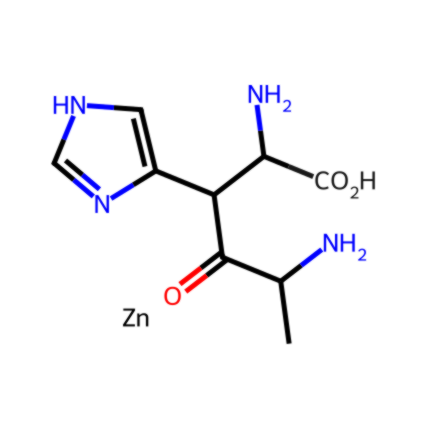 CC(N)C(=O)C(c1c[nH]cn1)C(N)C(=O)O.[Zn]